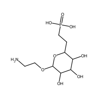 NCCOC1OC(CCP(=O)(O)O)C(O)C(O)C1O